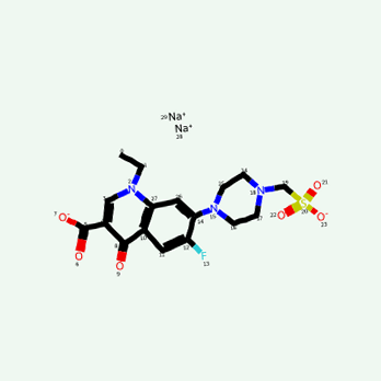 CCn1cc(C(=O)[O-])c(=O)c2cc(F)c(N3CCN(CS(=O)(=O)[O-])CC3)cc21.[Na+].[Na+]